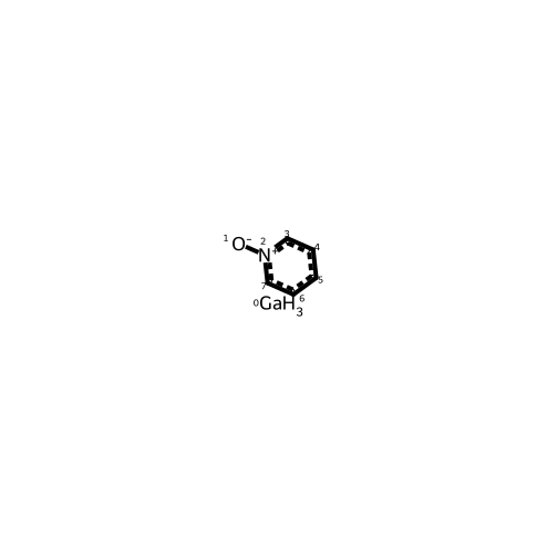 [GaH3].[O-][n+]1ccccc1